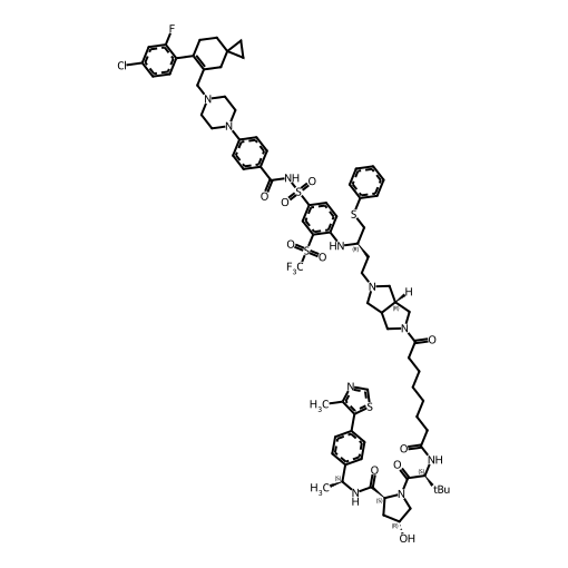 Cc1ncsc1-c1ccc([C@H](C)NC(=O)[C@@H]2C[C@@H](O)CN2C(=O)[C@@H](NC(=O)CCCCCCC(=O)N2CC3CN(CC[C@H](CSc4ccccc4)Nc4ccc(S(=O)(=O)NC(=O)c5ccc(N6CCN(CC7=C(c8ccc(Cl)cc8F)CCC8(CC8)C7)CC6)cc5)cc4S(=O)(=O)C(F)(F)F)C[C@@H]3C2)C(C)(C)C)cc1